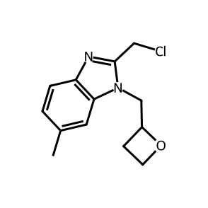 Cc1ccc2nc(CCl)n(CC3CCO3)c2c1